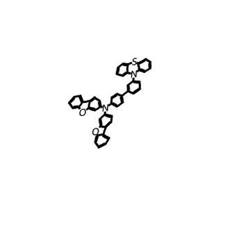 c1cc(-c2ccc(N(c3ccc4c(c3)oc3ccccc34)c3ccc4c(c3)oc3ccccc34)cc2)cc(N2c3ccccc3Sc3ccccc32)c1